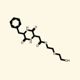 O=C(CC1NC(=O)C(Cc2ccccc2)NC1=O)OCCOCCO